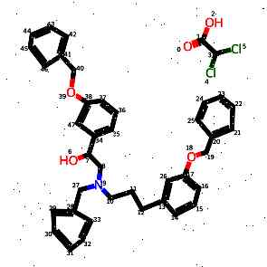 O=C(O)C(Cl)Cl.OC(CN(CCCc1cccc(OCc2ccccc2)c1)Cc1ccccc1)c1cccc(OCc2ccccc2)c1